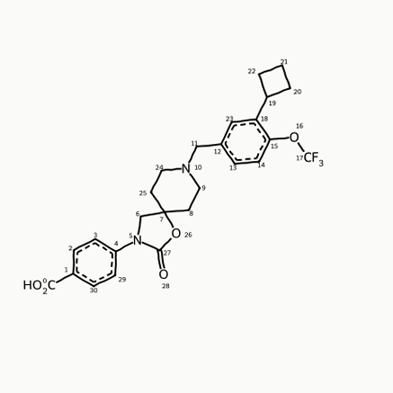 O=C(O)c1ccc(N2CC3(CCN(Cc4ccc(OC(F)(F)F)c(C5CCC5)c4)CC3)OC2=O)cc1